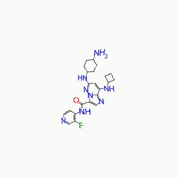 NC1CCC(Nc2cc(NC3CCC3)c3ncc(C(=O)Nc4ccncc4F)n3n2)CC1